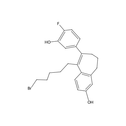 Oc1ccc2c(c1)CCCC(c1ccc(F)c(O)c1)=C2CCCCCBr